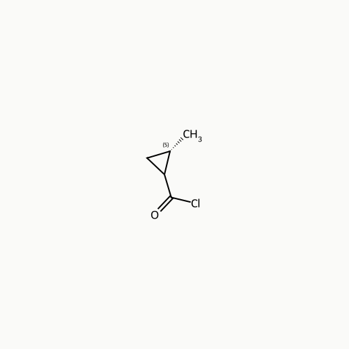 C[C@H]1CC1C(=O)Cl